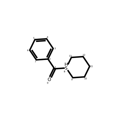 O=C(c1ccccc1)[SH]1CCCCC1